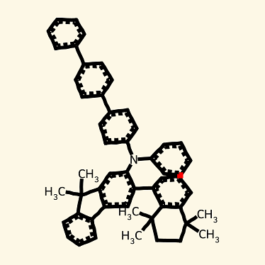 CC1(C)CCC(C)(C)c2c(-c3cc4c(cc3N(c3ccccc3)c3ccc(-c5ccc(-c6ccccc6)cc5)cc3)C(C)(C)c3ccccc3-4)cccc21